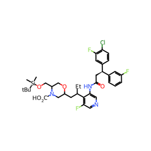 CCC(CC1CN(C(=O)O)C(CO[Si](C)(C)C(C)(C)C)CO1)c1c(F)cncc1NC(=O)C[C@H](c1cccc(F)c1)c1ccc(Cl)c(F)c1